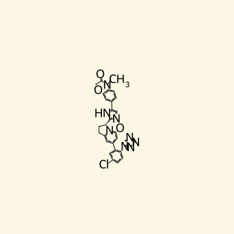 CN1C(=O)COc2cc(-c3cnc([C@@H]4CCc5cc(-c6cc(Cl)ccc6-n6cnnn6)cc(=O)n54)[nH]3)ccc21